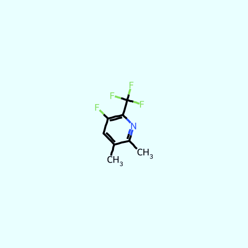 Cc1cc(F)c(C(F)(F)F)nc1C